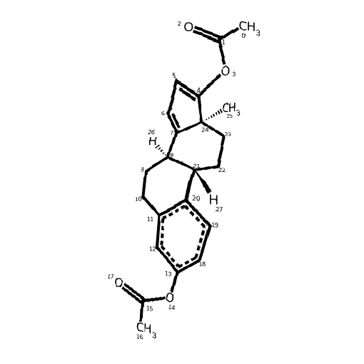 CC(=O)OC1=CC=C2[C@@H]3CCc4cc(OC(C)=O)ccc4[C@H]3CC[C@]12C